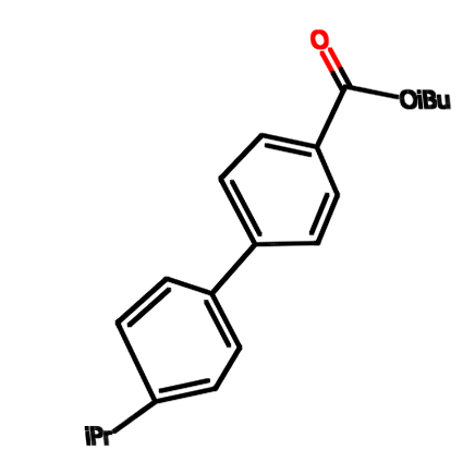 CC(C)COC(=O)c1ccc(-c2ccc(C(C)C)cc2)cc1